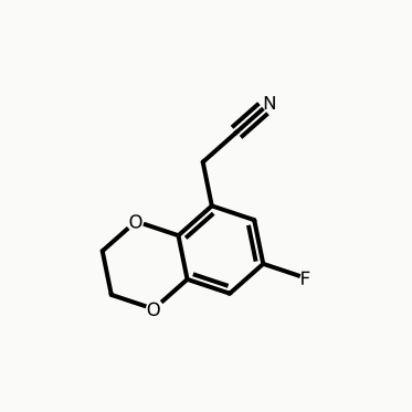 N#CCc1cc(F)cc2c1OCCO2